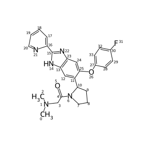 CN(C)CC(=O)N1CCCC1c1cc2[nH]c(-c3ccccn3)nc2cc1Oc1ccc(F)cc1